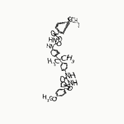 COc1ccc(S(=O)(=O)NC(=O)Nc2ccc(C(C)(C)c3ccc(NC(=O)NS(=O)(=O)c4ccc(OC)cc4)cc3)cc2)cc1